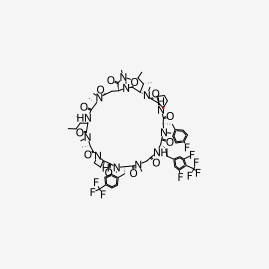 CC[C@H](C)[C@@H]1NC(=O)[C@H](C)N(C)C(=O)C[C@@H](C(=O)N(C)C)N(C)C(=O)[C@H]([C@@H](C)CC)N(C)C(=O)C2(CCCC2)NC(=O)[C@H](Cc2ccc(F)cc2)N(C)C(=O)[C@H](CCc2cc(F)c(C(F)(F)F)c(F)c2)NC(=O)CN(C)C(=O)[C@H](Cc2ccc(C(F)(F)F)cc2)N(C)C(=O)[C@@H]2CCN2C(=O)[C@H](C)N(C)C1=O